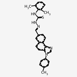 Cc1ccc(-n2cnc3c4ccc(/C=N/NC(=S)Nc5c(C)cccc5C)cc4ccc32)cc1